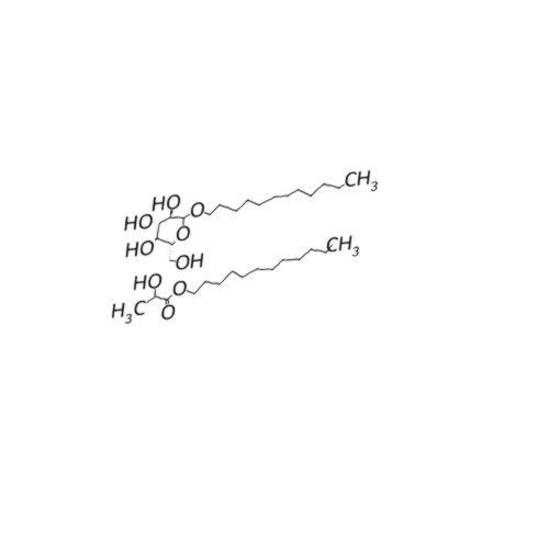 CCCCCCCCCCCCOC(=O)C(C)O.CCCCCCCCCCCCOC1O[C@H](CO)[C@@H](O)[C@H](O)[C@H]1O